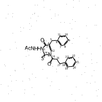 CC(=O)Nn1c(=O)c(Cc2ccccc2)cn(C(=O)CCc2ccccc2)c1=S